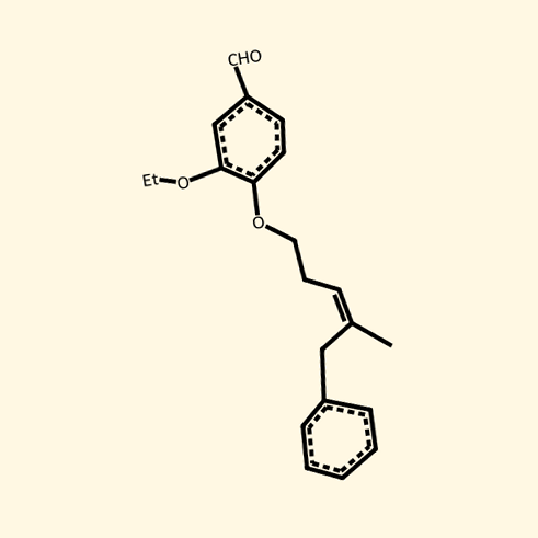 CCOc1cc(C=O)ccc1OCCC=C(C)Cc1ccccc1